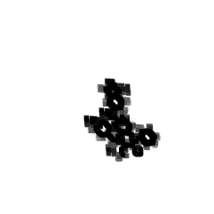 C[C@@H]1C(=O)N(c2ccccc2)c2cnc(Nc3ccc4[nH]ncc4c3)nc2N1CC1CCNCC1